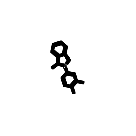 Cc1ccc(N2Cc3ccccc3C2C)cc1C